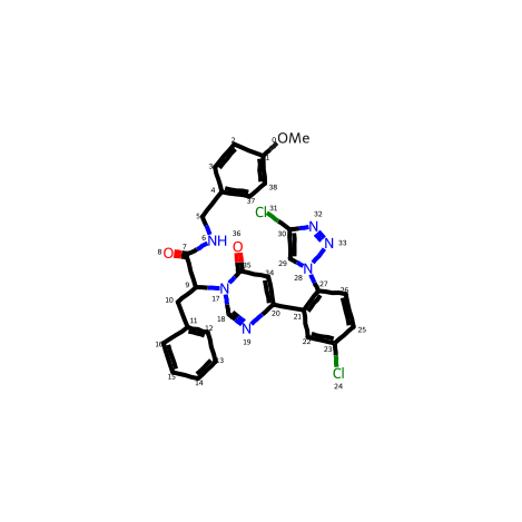 COc1ccc(CNC(=O)C(Cc2ccccc2)n2cnc(-c3cc(Cl)ccc3-n3cc(Cl)nn3)cc2=O)cc1